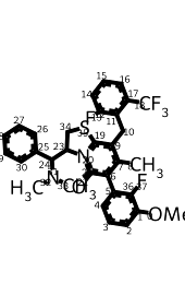 COc1cccc(-c2c(C)c(Cc3c(F)cccc3C(F)(F)F)c3n(c2=O)C(C(c2ccccc2)N(C)C)CS3)c1F